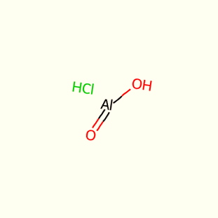 Cl.[O]=[Al][OH]